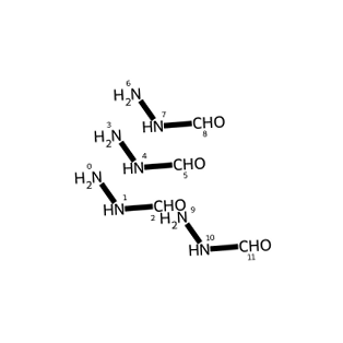 NNC=O.NNC=O.NNC=O.NNC=O